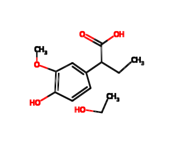 CCC(C(=O)O)c1ccc(O)c(OC)c1.CCO